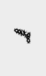 Cc1nc2cc3ccccc3cc2nc1-c1cn2c3ccccc3c3cccc1c32